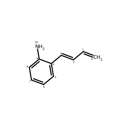 C=C/C=C/c1ccccc1N